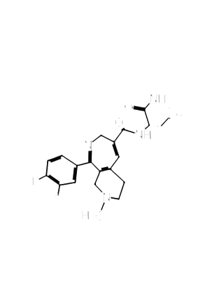 CC(C)C[C@H](NC(=O)C1=CC2=C(CN(C)CC2)C(c2ccc(F)c(F)c2)=NC1)C(N)=O